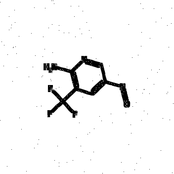 Nc1ncc(N=O)cc1C(F)(F)F